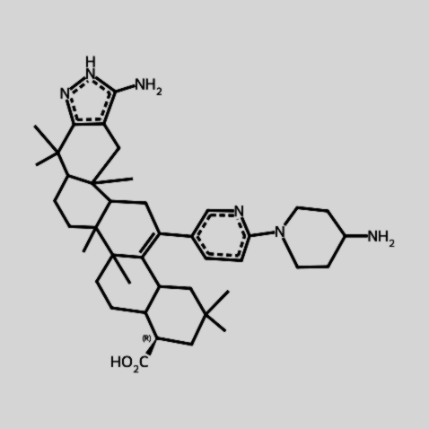 CC1(C)CC2C3=C(c4ccc(N5CCC(N)CC5)nc4)CC4C5(C)Cc6c(n[nH]c6N)C(C)(C)C5CCC4(C)C3(C)CCC2[C@H](C(=O)O)C1